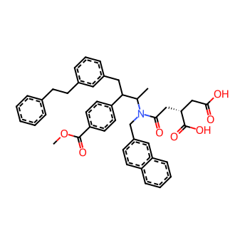 COC(=O)c1ccc(C(Cc2cccc(CCc3ccccc3)c2)C(C)N(Cc2ccc3ccccc3c2)C(=O)C[C@H](CC(=O)O)C(=O)O)cc1